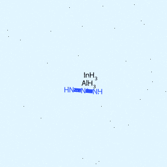 N=[N+]=N.[AlH3].[InH3]